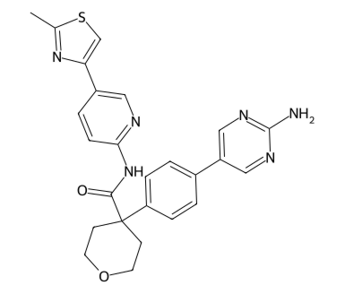 Cc1nc(-c2ccc(NC(=O)C3(c4ccc(-c5cnc(N)nc5)cc4)CCOCC3)nc2)cs1